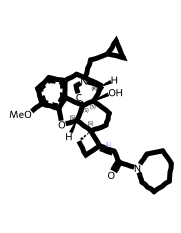 COc1ccc2c3c1O[C@H]1[C@@]4(CC/C4=C\C(=O)N4CCCCCC4)CC[C@@]4(O)[C@@H](C2)N(CC2CC2)CC[C@]314